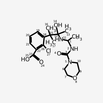 CC(NC(=O)N1CCOCC1)NC(C)(O)C(C)(C)c1cccc(C(=O)O)c1Cl